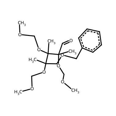 COCOC(C)(C=O)C(C)(OCOC)C(C)(COCc1ccccc1)OCOC